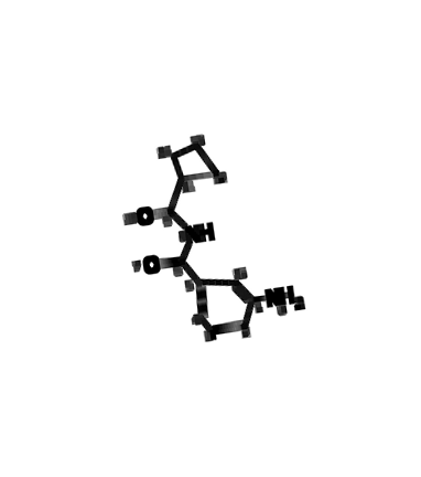 Nc1c[c]cc(C(=O)NC(=O)C2CCC2)c1